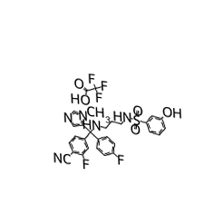 Cn1cncc1C(NCCCNS(=O)(=O)c1cccc(O)c1)(c1ccc(F)cc1)c1ccc(C#N)c(F)c1.O=C(O)C(F)(F)F